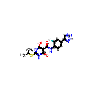 CC(C)Sc1nc(O)c(C(=O)Nc2ccc(-c3c[nH]nn3)cc2F)c(=O)[nH]1